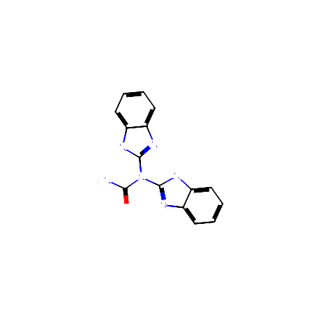 NC(=O)N(c1nc2ccccc2[nH]1)c1nc2ccccc2[nH]1